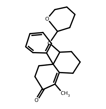 CC1=C2CCCC(OC3CCCCO3)C2(c2ccccc2)CCC1=O